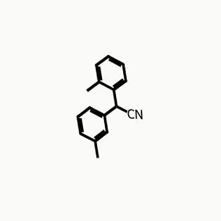 Cc1cccc(C(C#N)c2ccccc2C)c1